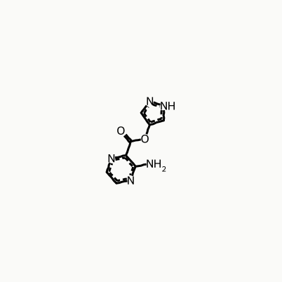 Nc1nccnc1C(=O)Oc1cn[nH]c1